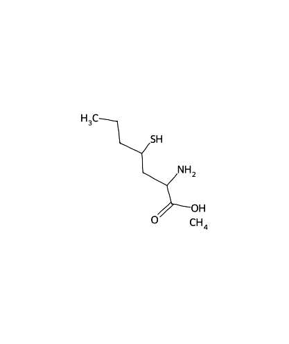 C.CCCC(S)CC(N)C(=O)O